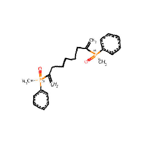 C=C(CCCCCC(=C)[P@](C)(=O)c1ccccc1)[P@](C)(=O)c1ccccc1